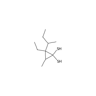 CCC(C)C1(CC)C(C)C1(S)S